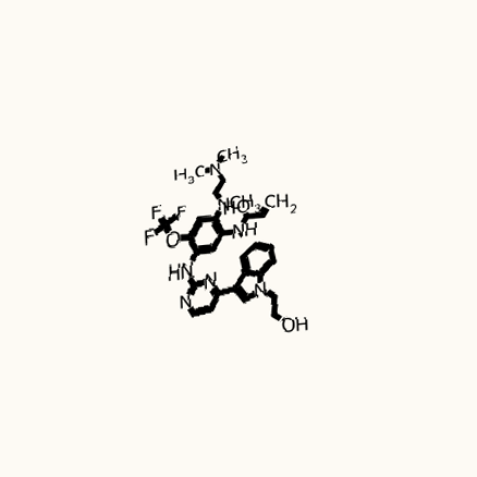 C=CC(O)Nc1cc(Nc2nccc(-c3cn(CCO)c4ccccc34)n2)c(OC(F)(F)F)cc1N(C)CCN(C)C